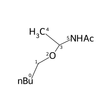 CCCCCOC(C)NC(C)=O